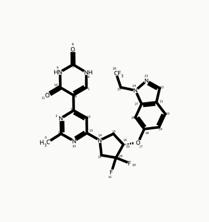 Cc1nc(-c2c[nH]c(=O)[nH]c2=O)cc(N2C[C@H](Oc3ccc4cnn(CC(F)(F)F)c4c3)C(F)(F)C2)n1